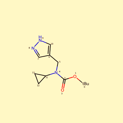 CC(C)(C)OC(=O)N(Cc1cn[nH]c1)C1CC1